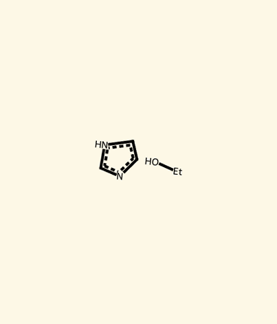 CCO.c1c[nH]cn1